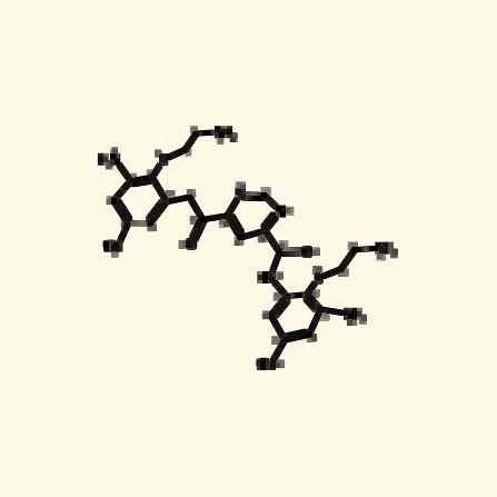 CC(C)(C)c1cc(N)c(SCCN)c(CC(=O)c2cc(C(=O)Nc3cc(C(C)(C)C)cc(N)c3SCCN)ncn2)c1